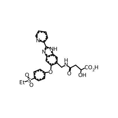 CCS(=O)(=O)c1ccc(Oc2cc3nc(-c4ccccn4)[nH]c3cc2CNC(=O)CC(O)C(=O)O)cc1